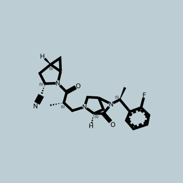 C[C@@H](CN1CC2C[C@H]1C(=O)N2[C@@H](C)c1ccccc1F)C(=O)N1C2C[C@H]2C[C@H]1C#N